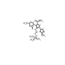 Cc1ccc(-c2c(C(N)=O)cc(-c3cnn(C)c3)n2COCC[Si](C)(C)C)c(F)c1